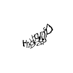 CC(NC(=O)c1c(O)c2cccnc2n(Cc2nc3ccccc3s2)c1=O)C(=O)O